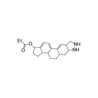 CCC(=O)OC1CCC2C1=CC=C1C3=CC4CNNC4CC3CCC12